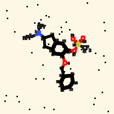 CCCN(CCC)C1Cc2cc(OCc3ccccc3)c(OS(=O)(=O)C(F)(F)F)cc2C1